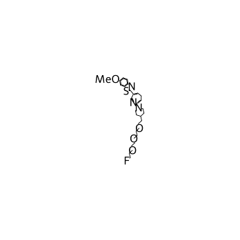 COc1ccc2nc(C3=CCC=C(N4CCC(CCOCCOCCOCCF)CC4)N=C3)sc2c1